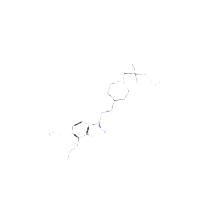 CCCOc1ccc2c(CCC3CCN(CC(C)(C)CO)CC3)noc2c1CN(C)C